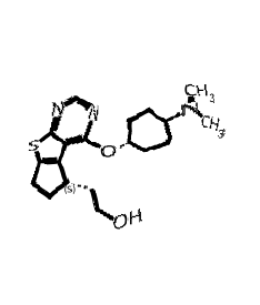 CN(C)[C@H]1CC[C@H](Oc2ncnc3sc4c(c23)[C@H](CCO)CC4)CC1